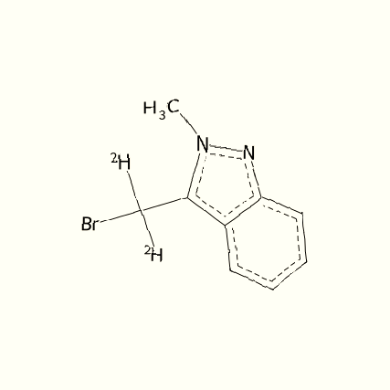 [2H]C([2H])(Br)c1c2ccccc2nn1C